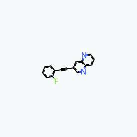 Fc1ccccc1C#Cc1cnc2cccnc2c1